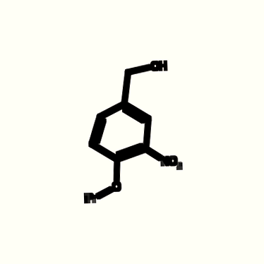 CC(C)Oc1ccc(CO)cc1[N+](=O)[O-]